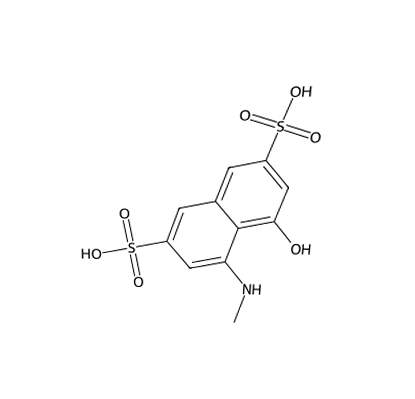 CNc1cc(S(=O)(=O)O)cc2cc(S(=O)(=O)O)cc(O)c12